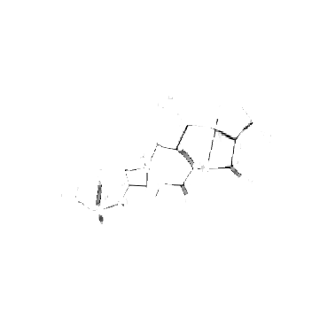 C[C@@H](O)C1C(=O)N2C(C(=O)OP)=C(CN3CC(NS(N)(=O)=O)C3)[C@H](C)[C@H]12